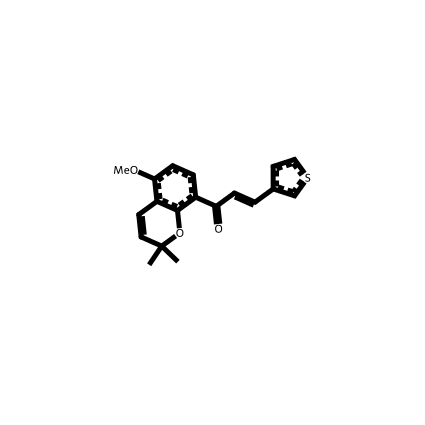 COc1ccc(C(=O)C=Cc2ccsc2)c2c1C=CC(C)(C)O2